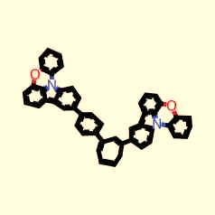 C1=CCC(c2ccc3c(c2)c2cccc4c2n3-c2ccccc2O4)=CC(c2ccc(-c3ccc4c(c3)c3cccc5c3n4-c3ccccc3O5)cc2)=C1